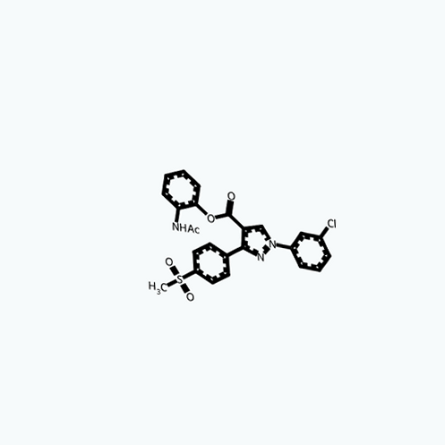 CC(=O)Nc1ccccc1OC(=O)c1cn(-c2cccc(Cl)c2)nc1-c1ccc(S(C)(=O)=O)cc1